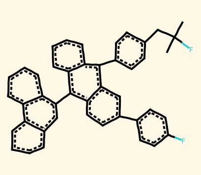 CC(C)(F)Cc1ccc(-c2c3ccccc3c(-c3cc4ccccc4c4ccccc34)c3ccc(-c4ccc(F)cc4)cc23)cc1